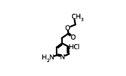 CCOC(=O)Cc1ccnc(N)c1.Cl